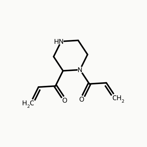 C=CC(=O)C1CNCCN1C(=O)C=C